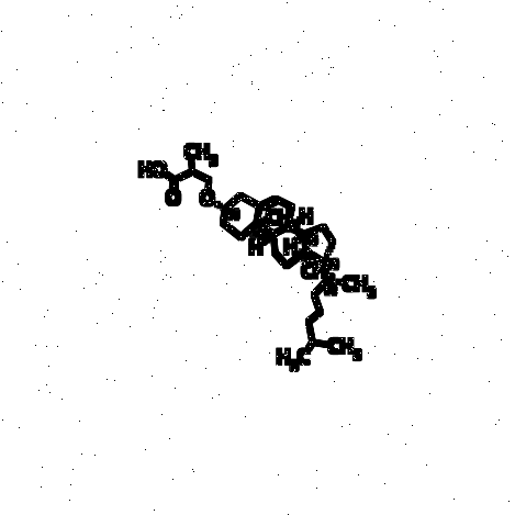 CC(C)CCC[C@@H](C)[C@H]1CC[C@H]2[C@@H]3CC=C4C[C@@H](OCC(C)C(=O)O)CC[C@]4(C)[C@H]3CC[C@]12C